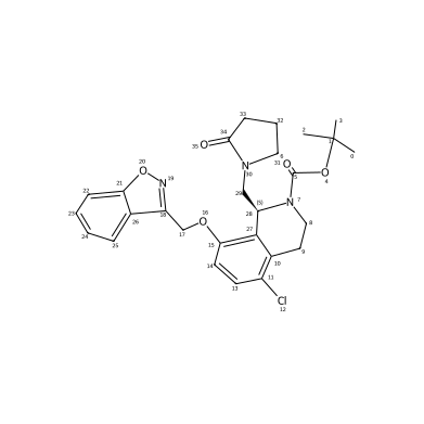 CC(C)(C)OC(=O)N1CCc2c(Cl)ccc(OCc3noc4ccccc34)c2[C@H]1CN1CCCC1=O